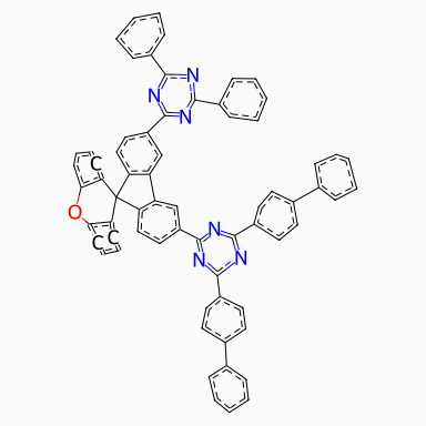 c1ccc(-c2ccc(-c3nc(-c4ccc(-c5ccccc5)cc4)nc(-c4ccc5c(c4)-c4cc(-c6nc(-c7ccccc7)nc(-c7ccccc7)n6)ccc4C54c5ccccc5Oc5ccccc54)n3)cc2)cc1